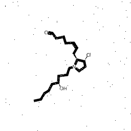 CCCCC[C@@H](O)CCCN1CC[C@@H](Cl)[C@@H]1C/C=C\CCCC=O